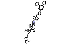 COCCCNC(=S)N/N=C/c1ccc(COc2ccc(Cl)c(Cl)c2)o1